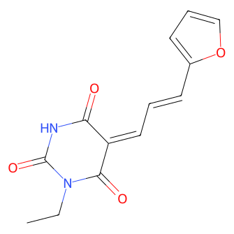 CCN1C(=O)NC(=O)/C(=C\C=C\c2ccco2)C1=O